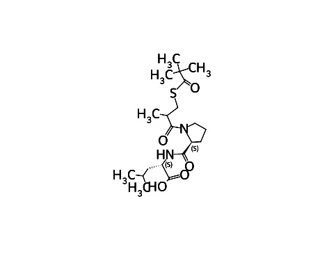 CC(C)C[C@H](NC(=O)[C@@H]1CCCN1C(=O)C(C)CSC(=O)C(C)(C)C)C(=O)O